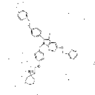 Cc1c(-c2ccc(OCc3ccccc3)cc2)n(Cc2ccc(OCCC3(N)CCCCC3)cc2)c2ccc(OCc3ccccc3)cc12